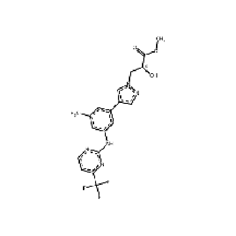 COC(=O)[C@@H](O)Cn1cc(-c2cc(C)cc(Nc3nccc(C(F)(F)F)n3)c2)cn1